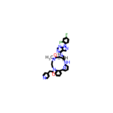 CN1CCCN(C(=O)Cc2ccncc2)c2ccccc2-c2cccc(n2)N[C@H]2C[C@@H](C1=O)N(c1ncnc3c1cnn3-c1ccc(F)cc1F)C2